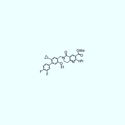 CCCc1nc2c(cc1C(=O)OC)C(=O)N(Cc1cc(C3CC3)c(-c3ccc(F)c(F)c3)cc1OCC)CC2